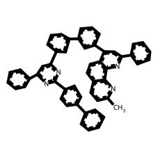 Cc1ccc2ccc3c(-c4cccc(-c5cccc(-c6cc(-c7ccccc7)nc(-c7ccc(-c8ccccc8)cc7)n6)c5)c4)cc(-c4ccccc4)nc3c2n1